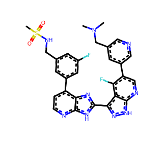 CN(C)Cc1cncc(-c2cnc3[nH]nc(-c4nc5c(-c6cc(F)cc(CNS(C)(=O)=O)c6)ccnc5[nH]4)c3c2F)c1